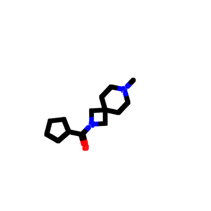 CN1CCC2(CC1)CN(C(=O)C1CCCC1)C2